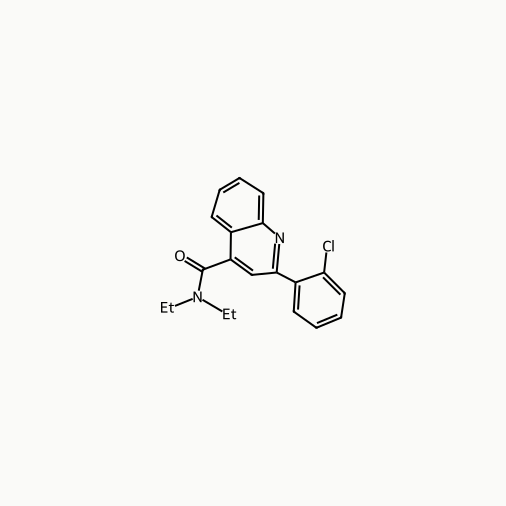 CCN(CC)C(=O)c1cc(-c2ccccc2Cl)nc2ccccc12